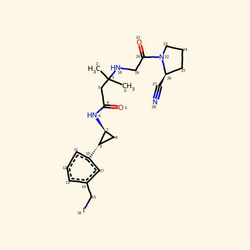 CC(C)(CC(=O)N[C@H]1C[C@@H]1c1cccc(CI)c1)NCC(=O)N1CCC[C@H]1C#N